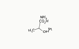 CC(O)C(=O)O.N.[Pt]